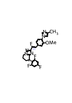 COc1cc(/C=C(\F)c2nc3n(n2)CCC[C@@H]3c2c(F)cc(F)cc2F)ccc1-n1cnc(C)c1